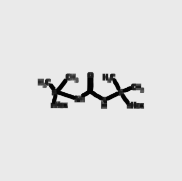 CCCCCC[Si](C)(C)NC(=O)N[Si](C)(C)CCCCCC